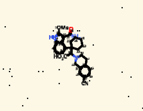 COc1[nH]c2cccc(C3(C(C(=O)O)N4CCc5ccc(C#N)cc5C4)CCCCC3)c2c1C(N)=O